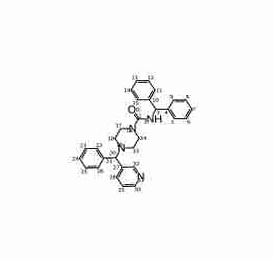 O=C(NC(c1ccccc1)c1ccccc1)N1CCN(C(c2ccccc2)c2cccnc2)CC1